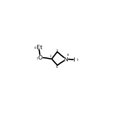 CCOC1CN(I)C1